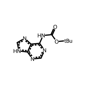 CC(C)(C)OC(=O)Nc1ncnc2[nH]cnc12